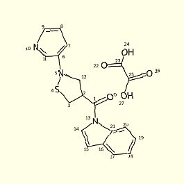 O=C(C1CSN(c2cccnc2)C1)n1ccc2ccccc21.O=C(O)C(=O)O